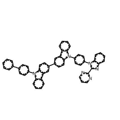 c1ccc(-c2ccc(-n3c4ccccc4c4cc(-c5ccc6c(c5)c5ccccc5n6-c5ccc(-n6c(-c7ncccn7)nc7ccccc76)cc5)ccc43)cc2)cc1